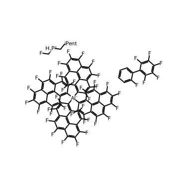 CCCC(C)C[PH2+]CF.Fc1c(F)c2c(F)c(F)c3c(F)c(F)[c]([Al-]([c]4c(F)c(F)c5c(F)c(F)c6c(F)c(F)c(F)c7c(F)c(F)c4c5c67)([c]4c(F)c(F)c5c(F)c(F)c6c(F)c(F)c(F)c7c(F)c(F)c4c5c67)[c]4c(F)c(F)c5c(F)c(F)c6c(F)c(F)c(F)c7c(F)c(F)c4c5c67)c4c(F)c(F)c(c1F)c2c34.Fc1ccccc1-c1c(F)c(F)c(F)c(F)c1F